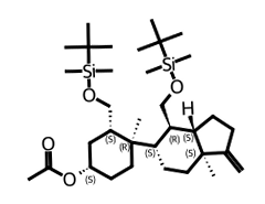 C=C1CC[C@H]2[C@H](CO[Si](C)(C)C(C)(C)C)[C@@H]([C@@]3(C)CC[C@H](OC(C)=O)C[C@@H]3CO[Si](C)(C)C(C)(C)C)CC[C@]12C